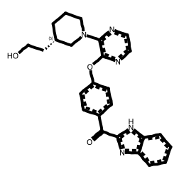 O=C(c1ccc(Oc2nccnc2N2CCC[C@@H](CCO)C2)cc1)c1nc2ccccc2[nH]1